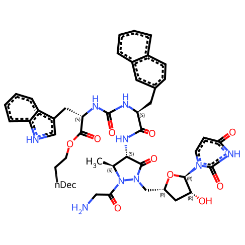 CCCCCCCCCCCCOC(=O)[C@H](Cc1c[nH]c2ccccc12)NC(=O)N[C@@H](Cc1ccc2ccccc2c1)C(=O)N[C@@H]1C(=O)N(C[C@H]2C[C@@H](O)[C@H](n3ccc(=O)[nH]c3=O)O2)N(C(=O)CN)[C@H]1C